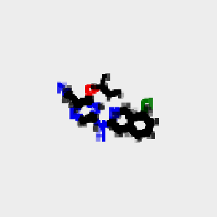 CC[C@H](C)Oc1nc(Nc2cc3cccc(Cl)c3cn2)cnc1C#N